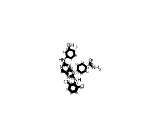 C[C@@H]1CC[C@@H](Nc2ncc3nc(Nc4c(Cl)cccc4Cl)n([C@H]4CC[C@@H](C(N)=O)CC4)c3n2)CC1O